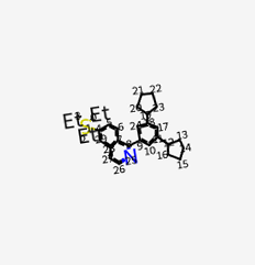 CCS(CC)(CC)c1ccc2c(-c3cc(C4CCCC4)cc(C4CCCC4)c3)nccc2c1